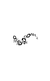 C[C@H](Nc1nccc(-n2cnc3cc(Oc4ccc(N)cc4)ccc32)n1)c1ccccc1